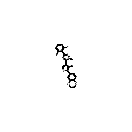 Cc1c(-c2nc(-c3c(F)cccc3Cl)nn2C)csc1-c1ccc2c(c1)OCCO2